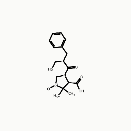 CC1(C)[C@H](C(=O)O)N(C(=O)[C@@H](CS)Cc2ccccc2)C[S+]1[O-]